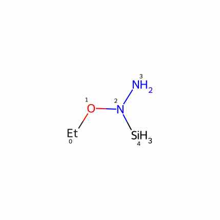 CCON(N)[SiH3]